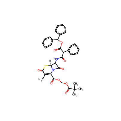 CC1=C(C(=O)OCOC(=O)C(C)(C)C)N2C(=O)C(NC(=O)C(C(=O)OC(c3ccccc3)c3ccccc3)c3ccccc3)[C@@H]2SC1=O